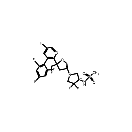 CS(=O)(=O)N[C@@H]1CN(C2=NOC(CF)(c3ncc(F)cc3-c3c(F)cc(F)cc3F)C2)CC1(F)F